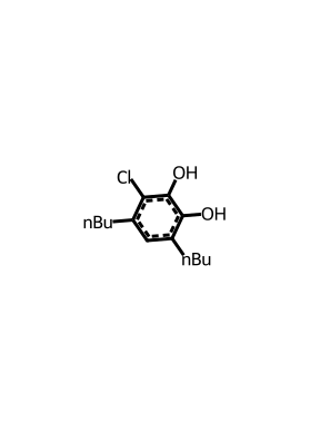 CCCCc1cc(CCCC)c(Cl)c(O)c1O